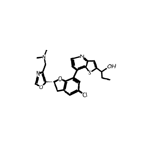 CCC(O)c1cc2nccc(-c3cc(Cl)cc4c3O[C@@H](c3ocnc3CN(C)C)C4)c2s1